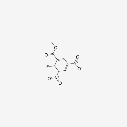 COC(=O)C1=CC([N+](=O)[O-])=CC([N+](=O)[O-])C1F